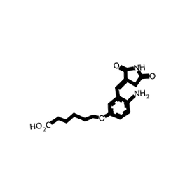 Nc1ccc(OCCCCCC(=O)O)cc1/C=C1\CC(=O)NC1=O